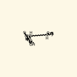 CC[C@H]1O[C@@H](n2cnc3c(OCC[Si](C)(C)C)nc(NCCCCCCCCCCCCNC(=O)CC4CCSS4)nc32)C[C@H]1O